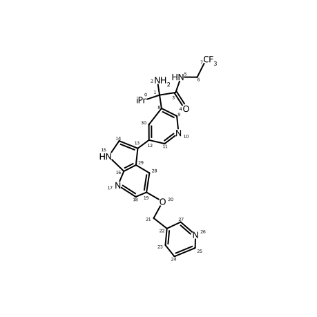 CC(C)C(N)(C(=O)NCC(F)(F)F)c1cncc(-c2c[nH]c3ncc(OCc4cccnc4)cc23)c1